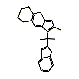 CC1=C(C(C)(C)C2=Cc3ccccc3C2)C2=CC3=C(CCCC3)CC2=C1